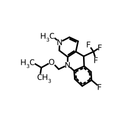 CC(C)OCN1C2=C(C=CN(C)C2)C(C(F)(F)F)c2cc(F)ccc21